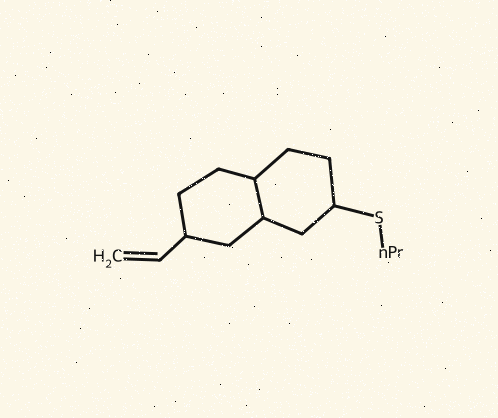 C=CC1CCC2CCC(SCCC)CC2C1